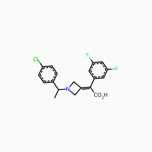 CC(c1ccc(Cl)cc1)N1CC(=C(C(=O)O)c2cc(F)cc(F)c2)C1